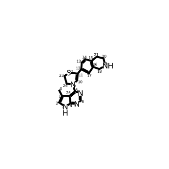 Cc1c[nH]c2ncnc(N3C=C(c4ccc5c(c4)CNCC5)SCC3)c12